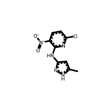 Cc1cc(Nc2nc(Cl)ccc2[N+](=O)[O-])n[nH]1